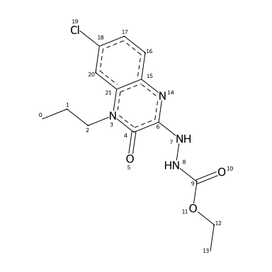 CCCn1c(=O)c(NNC(=O)OCC)nc2ccc(Cl)cc21